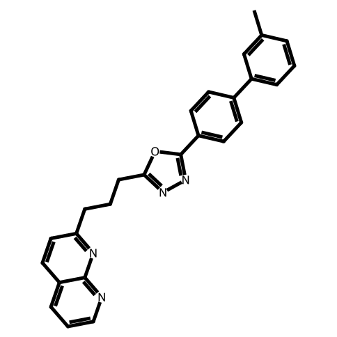 Cc1cccc(-c2ccc(-c3nnc(CCCc4ccc5cccnc5n4)o3)cc2)c1